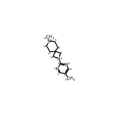 Cc1cnc(N2CC3(CCN(C)CC3)C2)nc1